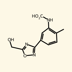 Cc1ccc(-c2noc(CO)n2)cc1NC(=O)O